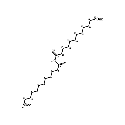 C=C(CCCCCCCCCCCCCCCCCCCC)OC(=C)CCCCCCCCCCCCCCCCCCCC